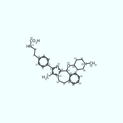 Cc1c(-c2ccc(CCNC(=O)O)cc2)nc2n1CCc1ccccc1C2OC1CCN(C)CC1